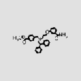 COC(=O)c1ccc(CN(CCCOc2cccc(C(N)=O)c2)CC(c2ccccc2)c2ccccc2)cc1